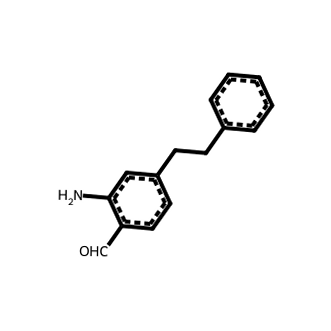 Nc1cc(CCc2ccccc2)ccc1C=O